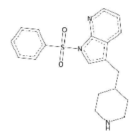 O=S(=O)(c1ccccc1)n1cc(CC2CCNCC2)c2cccnc21